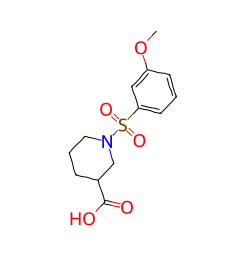 COc1cccc(S(=O)(=O)N2CCCC(C(=O)O)C2)c1